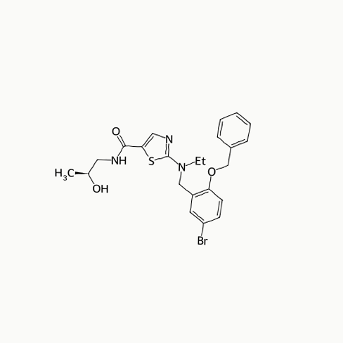 CCN(Cc1cc(Br)ccc1OCc1ccccc1)c1ncc(C(=O)NC[C@H](C)O)s1